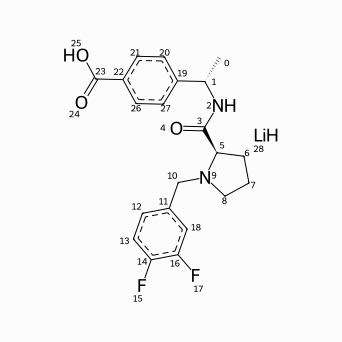 C[C@H](NC(=O)[C@H]1CCCN1Cc1ccc(F)c(F)c1)c1ccc(C(=O)O)cc1.[LiH]